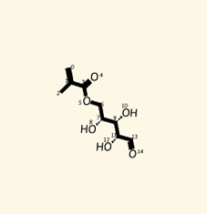 C=C(C)C(=O)OC[C@@H](O)[C@H](O)[C@@H](O)C=O